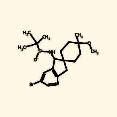 CO[C@]1(C)CC[C@@]2(CC1)Cc1ccc(Br)cc1C2N[S+]([O-])C(C)(C)C